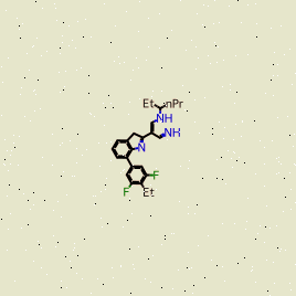 CCCC(CC)N/C=C(\C=N)C1=Nc2c(cccc2-c2cc(F)c(CC)c(F)c2)C1